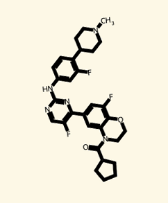 CN1CCC(c2ccc(Nc3ncc(F)c(-c4cc(F)c5c(c4)N(C(=O)C4CCCC4)CCO5)n3)cc2F)CC1